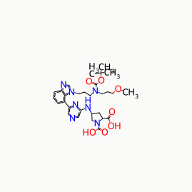 COCCCN(CCCn1cnc2cccc(-c3cncc(N[C@H]4C[C@@H](C(=O)O)N(C(=O)O)C4)n3)c21)C(=O)OC(C)(C)C